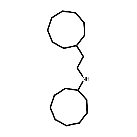 C1CCCCC(CCNC2CCCCCCCC2)CCC1